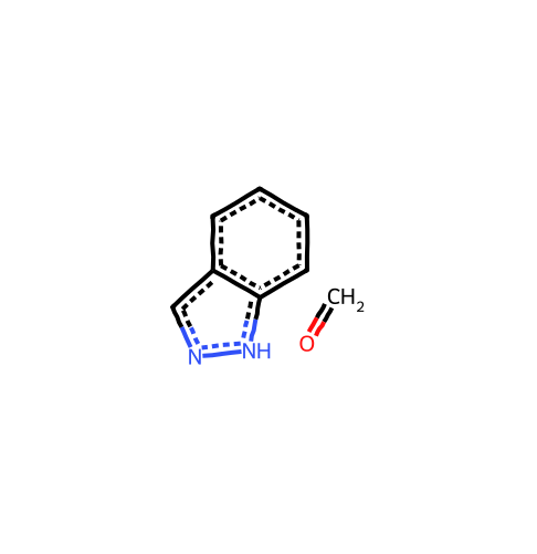 C=O.c1ccc2[nH]ncc2c1